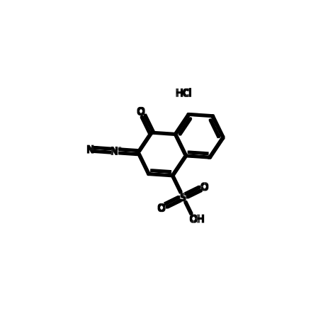 Cl.[N-]=[N+]=C1C=C(S(=O)(=O)O)c2ccccc2C1=O